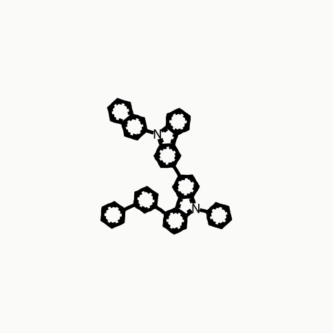 c1ccc(-c2cccc(-c3cccc4c3c3cc(-c5ccc6c(c5)c5ccccc5n6-c5ccc6ccccc6c5)ccc3n4-c3ccccc3)c2)cc1